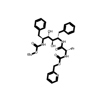 CC(C)[C@H](NC(=O)OCc1ccccn1)C(=O)N[C@@H](Cc1ccccc1)[C@@H](O)[C@@H](O)[C@H](Cc1ccccc1)NC(=O)OC(C)(C)C